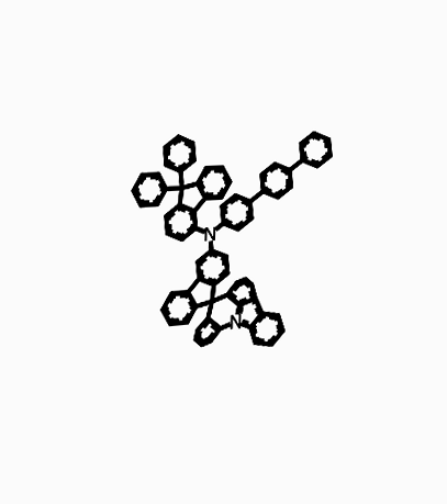 c1ccc(-c2ccc(-c3ccc(N(c4ccc5c(c4)-c4ccccc4C54c5ccccc5-n5c6ccccc6c6cccc4c65)c4cccc5c4-c4ccccc4C5(c4ccccc4)c4ccccc4)cc3)cc2)cc1